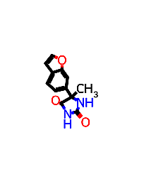 CC1(c2ccc3ccoc3c2)NC(=O)NC1=O